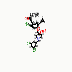 COC(=O)c1cc(C2CC2)c(OCC2(O)CCN(Cc3cc(Cl)cc(Cl)c3)CC2)cc1F